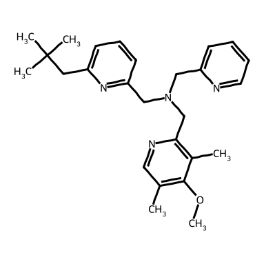 COc1c(C)cnc(CN(Cc2ccccn2)Cc2cccc(CC(C)(C)C)n2)c1C